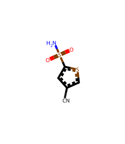 N#Cc1csc(S(N)(=O)=O)c1